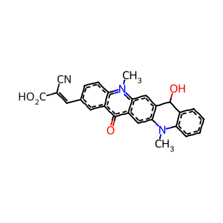 CN1c2ccccc2C(O)c2cc3c(cc21)c(=O)c1cc(/C=C(\C#N)C(=O)O)ccc1n3C